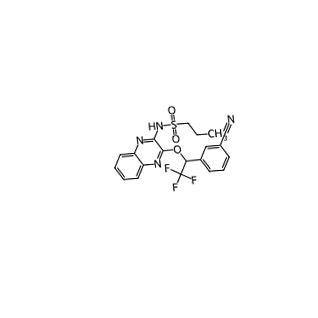 CCCS(=O)(=O)Nc1nc2ccccc2nc1OC(c1cccc(C#N)c1)C(F)(F)F